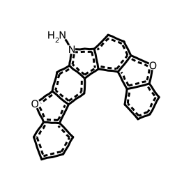 Nn1c2cc3oc4ccccc4c3cc2c2c3c(ccc21)oc1ccccc13